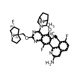 C#Cc1c(F)ccc2cc(N)nc(-c3c(F)c(OC)c4c(N5CC6CCC(C5)N6)nc(OC[C@@]56CCCN5C[C@H](F)C6)nc4c3F)c12